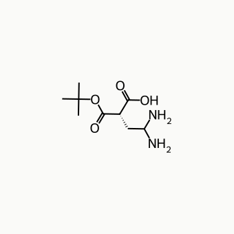 CC(C)(C)OC(=O)[C@@H](CC(N)N)C(=O)O